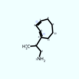 CC(CN)/C1=C\C=C/CCCC1